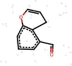 O=[C]c1cccc2c1CC=CO2